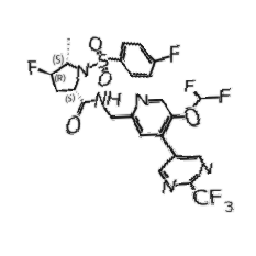 C[C@H]1[C@H](F)C[C@@H](C(=O)NCc2cc(-c3cnc(C(F)(F)F)nc3)c(OC(F)F)cn2)N1S(=O)(=O)c1ccc(F)cc1